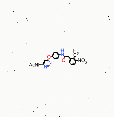 CC(=O)Nc1cc(Oc2ccc(NC(=O)Cc3cccc([N+](=O)[O-])c3C)cc2)ncn1